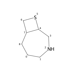 C1CNCC2SCC2C1